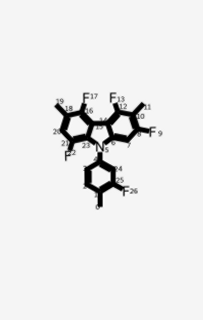 Cc1ccc(-n2c3cc(F)c(C)c(F)c3c3c(F)c(C)cc(F)c32)cc1F